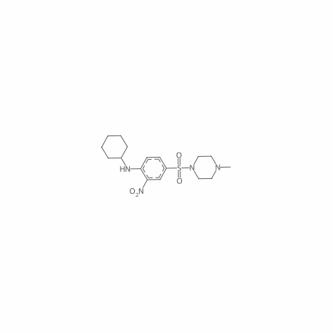 CN1CCN(S(=O)(=O)c2ccc(NC3CCCCC3)c([N+](=O)[O-])c2)CC1